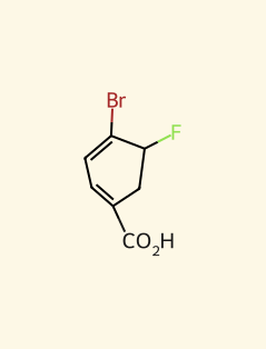 O=C(O)C1=CC=C(Br)C(F)C1